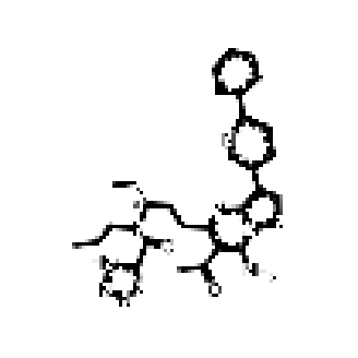 CCCN(C(=O)c1nnn[nH]1)[C@H](CC)CCc1nc2c(-c3ccc(-c4ccccc4)nc3)cnn2c(N)c1C(C)=O